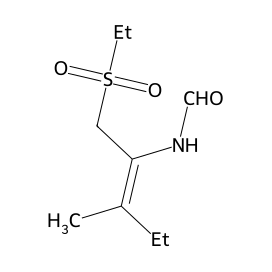 CC/C(C)=C(/CS(=O)(=O)CC)NC=O